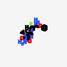 Cc1c(N2CC(F)C(C(N)COc3ccccc3)C2)cnc2c(=O)n(N)c(=O)n(C3CC3)c12